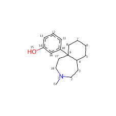 CN1CCC2CCCCC2(c2cccc(O)c2)CC1